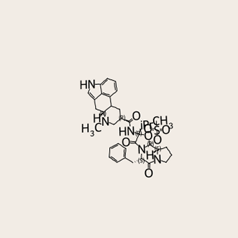 CC(C)[C@@]1(NC(=O)[C@@H]2CC3c4cccc5[nH]cc(c45)C[C@H]3N(C)C2)O[C@@]2(OS(C)(=O)=O)[C@@H]3CCCN3C(=O)[C@H](Cc3ccccc3)N2C1=O